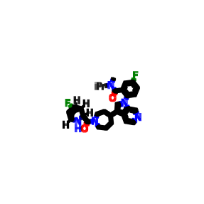 CC(C)N(C)C(=O)c1cc(F)ccc1-n1cc(C2CCCN(C(=O)[C@H]3N[C@H]4CC[C@@H]3[C@H](F)C4)CC2)c2ccncc21